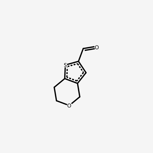 O=Cc1cc2c(s1)CCOC2